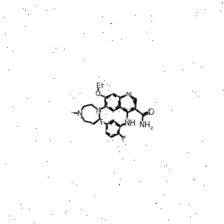 CCOc1cc2ncc(C(N)=O)c(Nc3cc(F)ccc3F)c2cc1N1CCCN(C)CC1